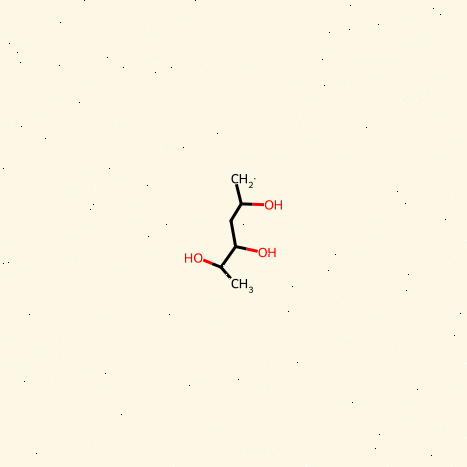 [CH2]C(O)CC(O)C(C)O